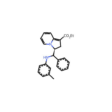 CCOC(=O)C1=C2C=CC=CN2[C@H](C(Nc2cccc(C)c2)c2ccccc2)C1